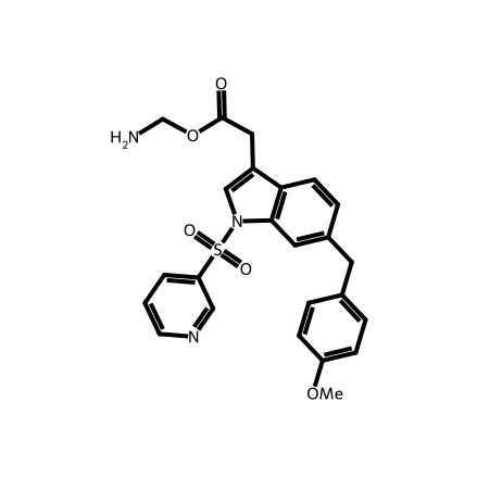 COc1ccc(Cc2ccc3c(CC(=O)OCN)cn(S(=O)(=O)c4cccnc4)c3c2)cc1